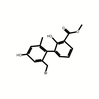 COC(=O)c1cccc(-c2c(C)cc(O)cc2CBr)c1O